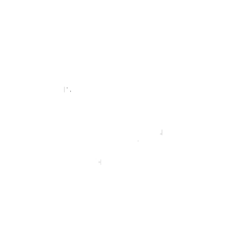 Oc1cc2[nH]ccc2cc1OS